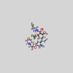 C=C/C(=C1/C=CC(OC(C)(C)CN2CCOCC2)=CN1C)c1cc(OC)c(C(=O)NCC2C[C@@H]2F)c(OC(F)F)c1